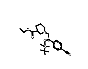 CCOC(=O)C1CCCN(C[C@H](O[Si](C)(C)C(C)(C)C)c2ccc(C#N)cc2)C1